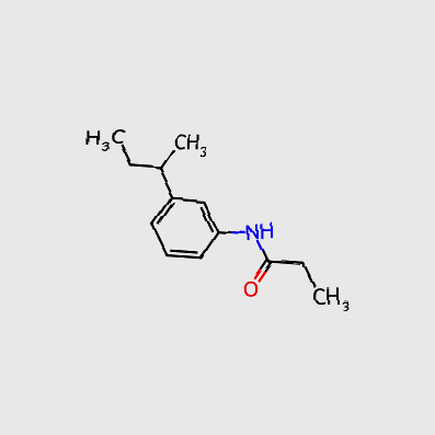 CCC(=O)Nc1cccc(C(C)CC)c1